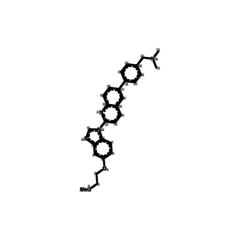 COCCOc1ccc2c(c1)ncn2-c1ccc2cc(-c3ccc(CN(C)C)cc3)ccc2n1